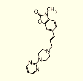 Cn1c(=O)oc2cc(C=CCN3CCN(c4ncccn4)CC3)ccc21